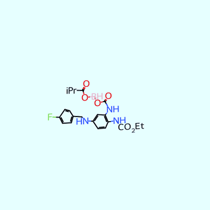 CCOC(=O)Nc1ccc(NCc2ccc(F)cc2)cc1NC(=O)OBOC(=O)C(C)C